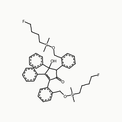 C[Si](C)(CCCCF)OCc1ccccc1C1=C(c2ccccc2)C(O)(c2ccccc2)C(c2ccccc2CO[Si](C)(C)CCCCF)C1=O